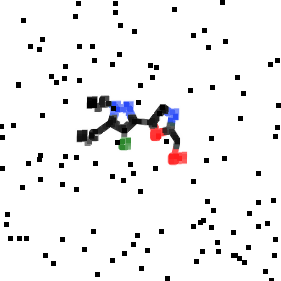 Cc1c(Cl)c(-c2cnc(CO)o2)nn1C